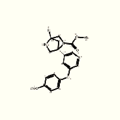 COc1ccc(Oc2cncc([C@@]34CN[C@H](CN3C(=O)OC(C)(C)C)C4)c2)cc1